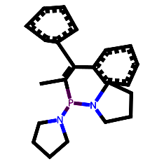 CC(=C(c1ccccc1)c1ccccc1)P(N1CCCC1)N1CCCC1